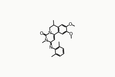 COc1cc2c(cc1OC)C(C)Cn1c-2cc(=Nc2c(C)cccc2C)n(C)c1=O